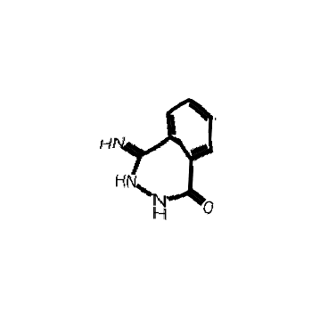 N=c1[nH][nH]c(=O)c2c[c]ccc12